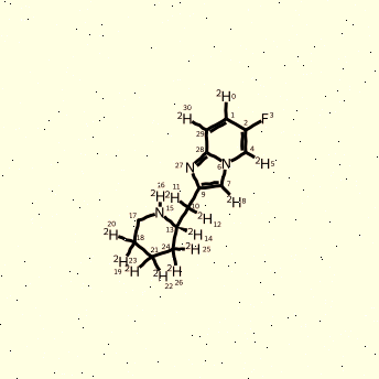 [2H]c1c(F)c([2H])n2c([2H])c(C([2H])([2H])[C@@]3([2H])N([2H])CC([2H])([2H])C([2H])([2H])C3([2H])[2H])nc2c1[2H]